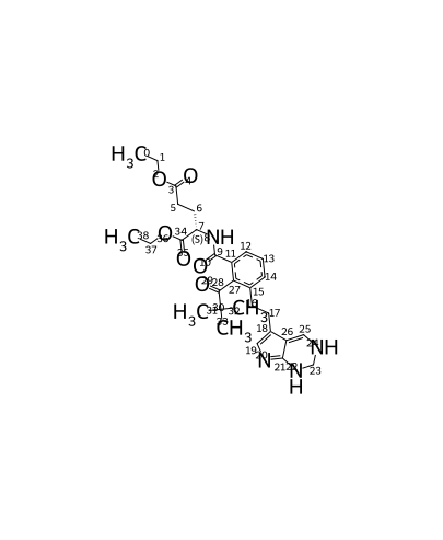 CCOC(=O)CC[C@H](NC(=O)c1cccc(CCC2=CN=C3NCNC=C23)c1C(=O)C(C)(C)C)C(=O)OCC